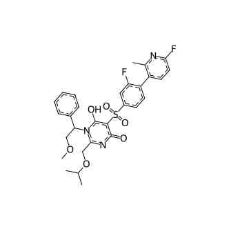 COCC(c1ccccc1)n1c(COC(C)C)nc(=O)c(S(=O)(=O)c2ccc(-c3ccc(F)nc3C)c(F)c2)c1O